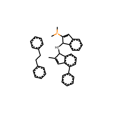 CC1=Cc2c(-c3ccccc3)cccc2[CH]1[Hf][CH]1C(P(C)C)=Cc2ccccc21.c1ccc(CCc2ccccc2)cc1